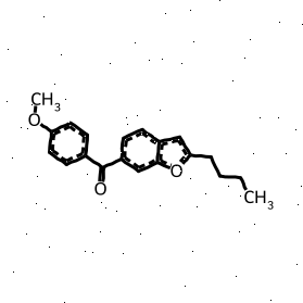 CCCCc1cc2ccc(C(=O)c3ccc(OC)cc3)cc2o1